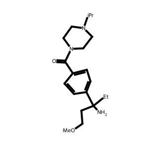 CCC(N)(CCOC)c1ccc(C(=O)N2CCN(C(C)C)CC2)cc1